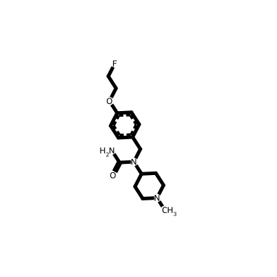 CN1CCC(N(Cc2ccc(OCCF)cc2)C(N)=O)CC1